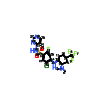 CN(C)[C@H]1CC(C(F)(F)F)CC[C@@H]1Nc1cc(F)c(S(=O)(=O)Nc2ccncn2)cc1Cl